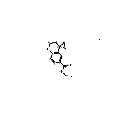 CNC(=O)c1ccc2c(c1)C1(CCO2)CC1